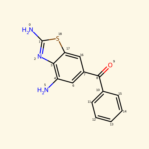 Nc1nc2c(N)cc(C(=O)c3ccccc3)cc2s1